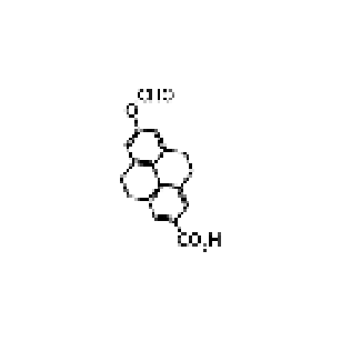 O=COc1cc2c3c(c1)CCc1cc(C(=O)O)cc(c1-3)CC2